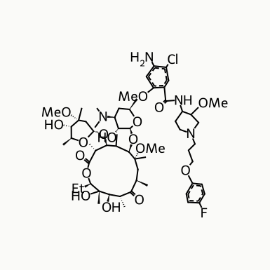 CC[C@H]1OC(=O)[C@H](C)[C@@H](O[C@H]2C[C@@](C)(OC)[C@@H](O)[C@H](C)O2)C(C)[C@@H](O[C@@H]2O[C@H](C)C[C@H](N(C)C)[C@H]2O)[C@](C)(OC)C[C@@H](C)C(=O)[C@H](C)[C@@H](O)[C@]1(C)O.COc1cc(N)c(Cl)cc1C(=O)NC1CCN(CCCOc2ccc(F)cc2)CC1OC